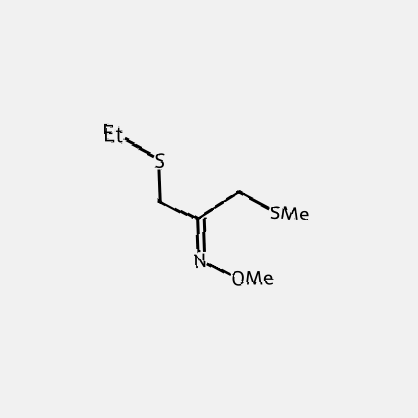 CCSC/C(CSC)=N/OC